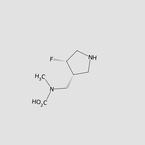 CN(C[C@H]1CNC[C@H]1F)C(=O)O